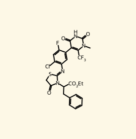 CCOC(=O)C(Cc1ccccc1)N1C(=O)CSC1=Nc1cc(-c2c(C(F)(F)F)n(C)c(=O)[nH]c2=O)c(F)cc1Cl